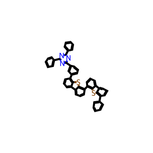 c1ccc(-c2nc(-c3ccccc3)nc(-c3cccc(-c4cccc5c4sc4c(-c6cccc7c6sc6c(-c8ccccc8)cccc67)cccc45)c3)n2)cc1